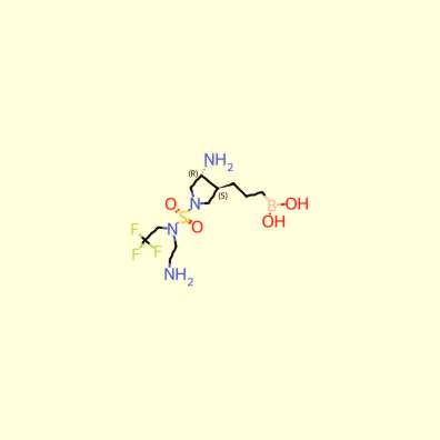 NCCN(CC(F)(F)F)S(=O)(=O)N1C[C@H](CCCB(O)O)[C@@H](N)C1